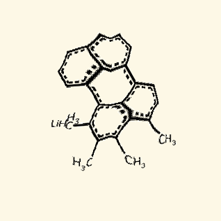 Cc1c(C)c2c(C)ccc3c4cccc5cccc(c(c1C)c23)c54.[LiH]